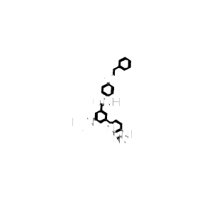 Nc1cc(C(=O)Nc2ccc(OCCc3ccccc3)cc2)cc(-c2ccc3[nH]nnc3n2)c1